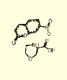 O=C(O)C1COCCN1.O=c1ccc2ccc([N+](=O)[O-])cc2o1